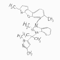 Cc1ccc2c(n1)oc1c(N3c4ccccc4N(C(C)(C)c4cc(C)nn4C)[C@@H]3C)c(C)ccc12